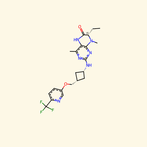 CC[C@H]1C(=O)Nc2c(C)nc(N[C@H]3C[C@@H](COc4ccc(C(F)(F)F)nc4)C3)nc2N1C